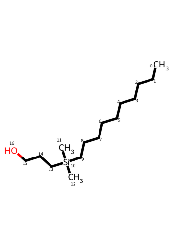 CCCCCCCCCC[Si](C)(C)CCCO